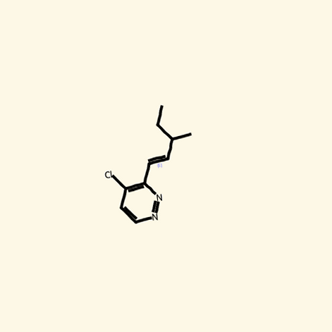 CCC(C)/C=C/c1nnccc1Cl